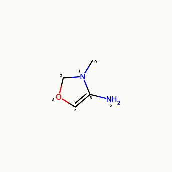 CN1COC=C1N